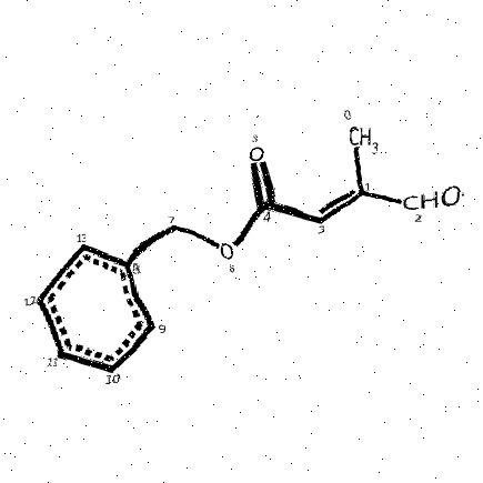 C/C([C]=O)=C\C(=O)OCc1ccccc1